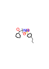 CCCc1ccc(S(=O)(=O)NC(C)(C)C(=O)c2ccccc2)cc1